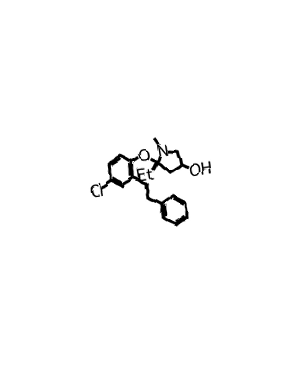 CCC1(Oc2ccc(Cl)cc2CCc2ccccc2)CC(O)CN1C